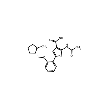 CN1CCC[C@H]1COc1ccccc1-c1cc(C(N)=O)c(NC(N)=O)s1